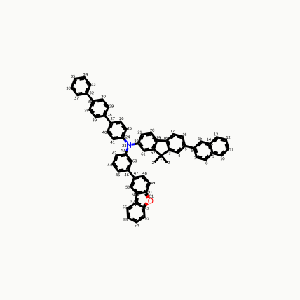 CC1(C)c2cc(-c3ccc4ccccc4c3)ccc2-c2ccc(N(c3ccc(-c4ccc(-c5ccccc5)cc4)cc3)c3cccc(-c4ccc5oc6ccccc6c5c4)c3)cc21